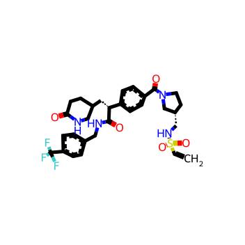 C=CS(=O)(=O)NC[C@H]1CCN(C(=O)c2ccc([C@@H](CC3CCC(=O)NC3)C(=O)NCc3ccc(C(F)(F)F)cc3)cc2)C1